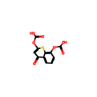 O=C(O)Oc1cc(=O)c2cccc(OC(=O)O)c2s1